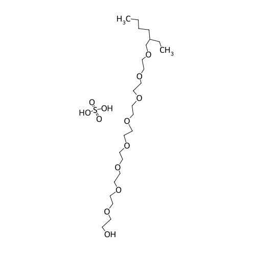 CCCCC(CC)COCCOCCOCCOCCOCCOCCOCCOCCO.O=S(=O)(O)O